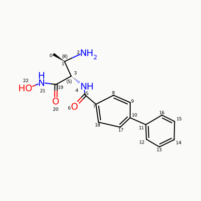 C[C@@H](N)[C@H](NC(=O)c1ccc(-c2ccccc2)cc1)C(=O)NO